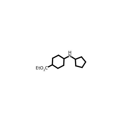 CCOC(=O)C1CCC(NC2CCCC2)CC1